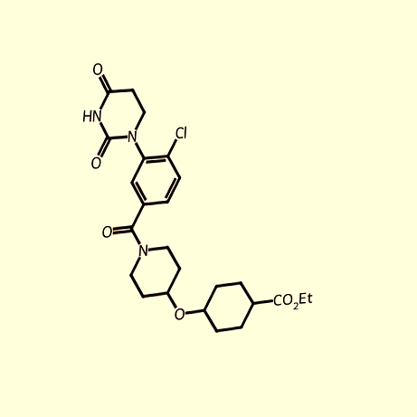 CCOC(=O)C1CCC(OC2CCN(C(=O)c3ccc(Cl)c(N4CCC(=O)NC4=O)c3)CC2)CC1